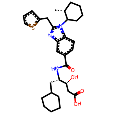 C[C@@H]1CCCCC1n1c(Cc2cccs2)nc2cc(C(=O)N[C@@H](CC3CCCCC3)[C@H](O)CC(=O)O)ccc21